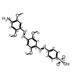 COc1cc(N=Nc2cc(OC)c(N=Nc3ccc(S(=O)(=O)O)cc3)cc2OC)c(OC)cc1N